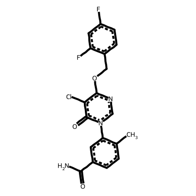 Cc1ccc(C(N)=O)cc1-n1cnc(OCc2ccc(F)cc2F)c(Cl)c1=O